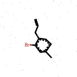 C=CCc1ccc(C)cc1Br